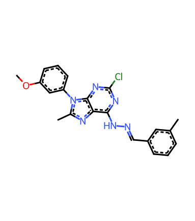 COc1cccc(-n2c(C)nc3c(NN=Cc4cccc(C)c4)nc(Cl)nc32)c1